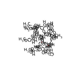 CN[C@H](CC(C)C)C(=O)N[C@H]1C(=O)N[C@@H](CC(=O)NC(=O)Nc2ccc(OC)cc2)C(=O)N[C@H]2C(=O)N[C@H]3C(=O)N[C@H](C(=O)N[C@H](C(=O)NC4C5CC6CC(C5)CC4C6)c4cc(O)c(CNCCNS(C)(=O)=O)c(O)c4-c4cc3ccc4O)[C@H](O)c3ccc(c(Cl)c3)Oc3cc2cc2c3O[C@@H]3O[C@H](C(O)c4cc(ccc4O2)[C@H]1O)[C@@H](O)[C@H](O)[C@H]3O[C@H]1C[C@](C)(N)[C@H](O)[C@H](C)O1